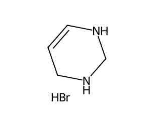 Br.C1=CNCNC1